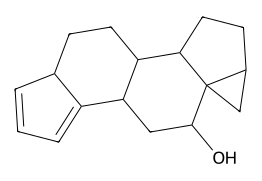 OC1CC2C3=CC=CC3CCC2C2CCC3CC132